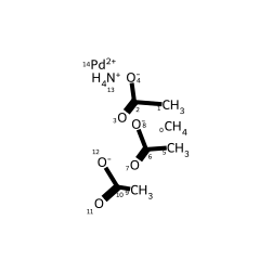 C.CC(=O)[O-].CC(=O)[O-].CC(=O)[O-].[NH4+].[Pd+2]